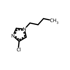 CCCCn1cnc(Cl)c1